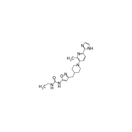 CCNC(=O)Nc1cc(CC2CCN(c3ccc(-c4ncc[nH]4)nc3C)CC2)no1